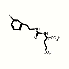 O=C(O)CC[C@H](NC(=O)NCCc1cccc(F)c1)C(=O)O